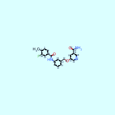 Cc1ccc(C(=O)Nc2cccc(COc3cncc(C(N)=O)c3)c2)cc1F